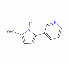 CCn1c(C=O)ccc1-c1cccnc1